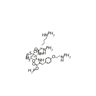 CC(C)(SP)[C@H](NC(=O)[C@H](CCCCNP)NP)C(=O)N[C@@H](Cc1ccc(OCCNP)cc1)C(=O)OP